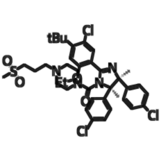 CCOc1cc(C(C)(C)C)c(Cl)cc1C1=N[C@@](C)(c2ccc(Cl)cc2)[C@@](C)(c2ccc(Cl)cc2)N1C(=O)N1CCN(CCCS(C)(=O)=O)CC1